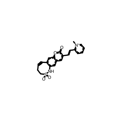 C[n+]1ccccc1/C=C/c1cc2cc3c(cc2oc1=O)C#CCCS(=O)(=O)N3